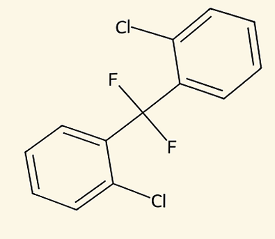 FC(F)(c1ccccc1Cl)c1ccccc1Cl